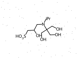 CC(C)N(CC(O)CS(=O)(=O)O)C(CO)(CO)CO